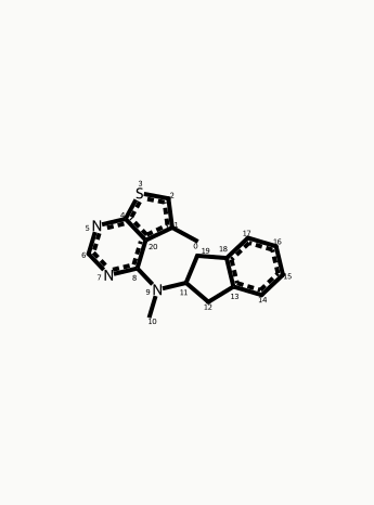 Cc1csc2ncnc(N(C)C3Cc4ccccc4C3)c12